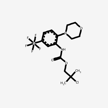 CC(C)(Cl)COC(=O)Nc1cc(S(F)(F)(F)(F)F)ccc1N1CCOCC1